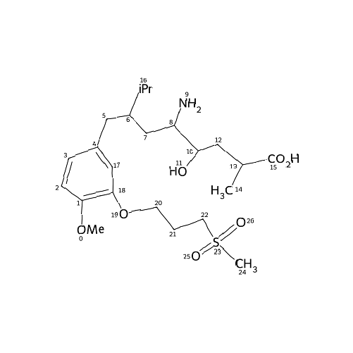 COc1ccc(CC(CC(N)C(O)CC(C)C(=O)O)C(C)C)cc1OCCCS(C)(=O)=O